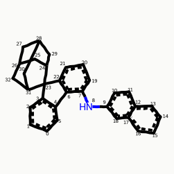 c1ccc2c(c1)-c1c(Nc3ccc4ccccc4c3)cccc1C21C2CC3CC(C2)CC1C3